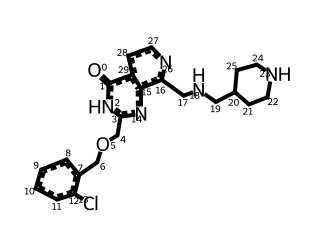 O=c1[nH]c(COCc2ccccc2Cl)nc2c(CNCC3CCNCC3)nccc12